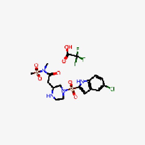 CN(C(=O)CC1CN(S(=O)(=O)c2cc3cc(Cl)ccc3[nH]2)CCN1)S(C)(=O)=O.O=C(O)C(F)(F)F